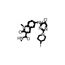 CNC(=O)c1cc2cc(Nc3nc(N4CCC(I)CC4)ncc3Cl)ccc2n(C)c1=O